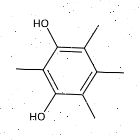 Cc1c(C)c(O)c(C)c(O)c1C